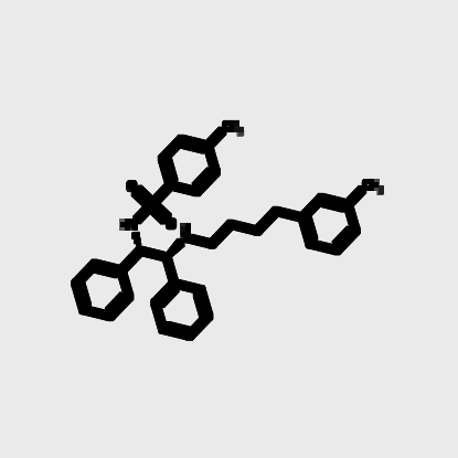 Cc1ccc(S(=O)(=O)N[C@@H](c2ccccc2)[C@@H](NCCCCc2cccc(C)c2)c2ccccc2)cc1